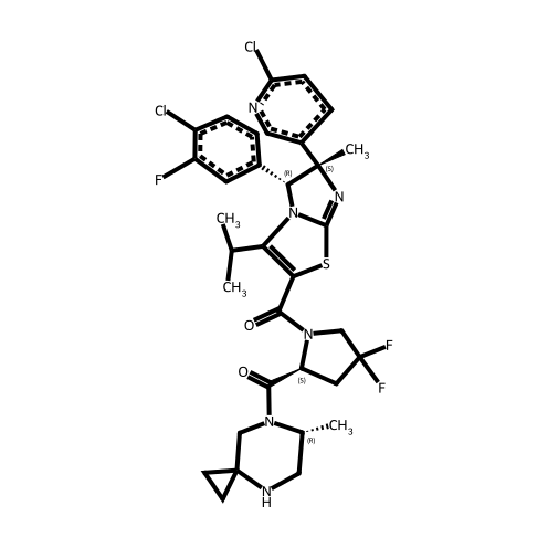 CC(C)C1=C(C(=O)N2CC(F)(F)C[C@H]2C(=O)N2CC3(CC3)NC[C@H]2C)SC2=N[C@@](C)(c3ccc(Cl)nc3)[C@@H](c3ccc(Cl)c(F)c3)N21